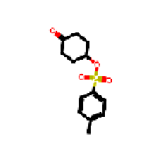 Cc1ccc(S(=O)(=O)OC2CCC(=O)CC2)cc1